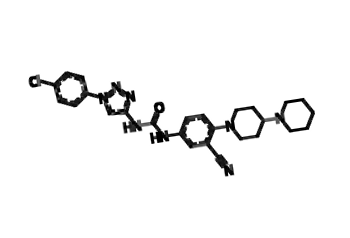 N#Cc1cc(NC(=O)Nc2cn(-c3ccc(Cl)cc3)nn2)ccc1N1CCC(N2CCCCC2)CC1